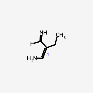 CC/C(=C/N)C(=N)F